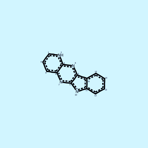 c1c[nH]c2nc3c(nc2c1)nc1ccccc13